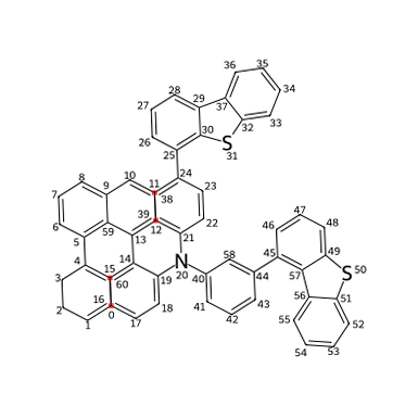 C1=CCCC(c2cccc3cccc(-c4ccccc4N(c4ccc(-c5cccc6c5sc5ccccc56)cc4)c4cccc(-c5cccc6sc7ccccc7c56)c4)c23)=C1